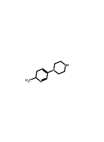 CC1CC=C(N2CCNCC2)C=N1